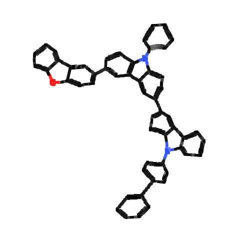 c1ccc(-c2ccc(-n3c4ccccc4c4cc(-c5ccc6c(c5)c5cc(-c7ccc8oc9ccccc9c8c7)ccc5n6-c5ccccc5)ccc43)cc2)cc1